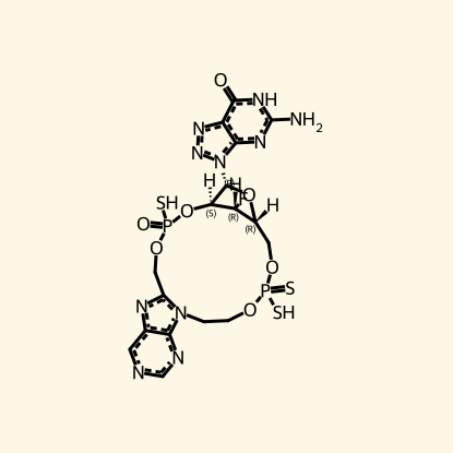 Nc1nc2c(nnn2[C@@H]2O[C@@H]3COP(=S)(S)OCCn4c(nc5cncnc54)COP(=O)(S)O[C@@H]2[C@@H]3F)c(=O)[nH]1